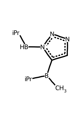 CB(c1cnnn1BC(C)C)C(C)C